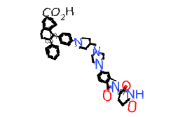 O=C1CC[C@H](N2Cc3cc(N4CCN(CC5CCN(c6ccc([C@@H]7c8ccc(C(=O)O)cc8CC[C@@H]7c7ccccc7)cc6)CC5)CC4)ccc3C2=O)C(=O)N1